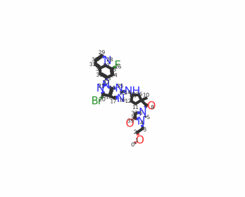 COCCN1CN(C(=O)C2(C)CC[C@@H](Nc3ncc4c(Br)nn(-c5cc(F)c6ncccc6c5)c4n3)C2)CC1=O